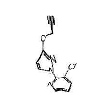 C#CCOc1ccn(-c2ncccc2Cl)n1